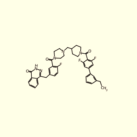 CCc1cccc(-c2cc(F)c(C(=O)N3CCC(CN4CCN(C(=O)c5cc(Cc6n[nH]c(=O)c7ccccc67)ccc5F)CC4)CC3)c(F)c2)c1